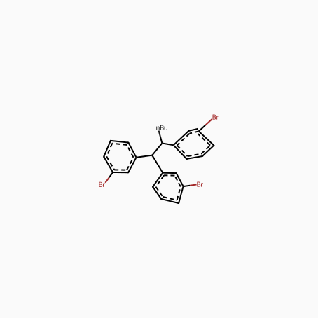 CCCCC([C](c1cccc(Br)c1)c1cccc(Br)c1)c1cccc(Br)c1